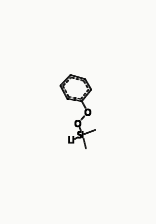 [Li][Si](C)(C)OOc1ccccc1